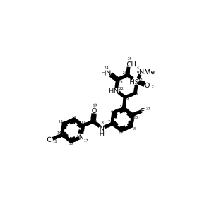 CN[SH]1(=O)CC(c2cc(NC(=O)c3ccc(Cl)cn3)ccc2F)NC(=N)C1C